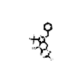 O=C(O)N[C@H]1Cc2c(c(C(F)(F)F)nn2Cc2ccccc2)N(O)C1=O